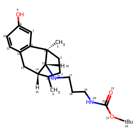 CC1CC[C@]2(C)c3cc(O)ccc3C[C@@H]1[C@H]2NCCCNC(=O)OC(C)(C)C